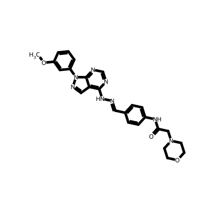 COc1cccc(-n2ncc3c(N/N=C/c4ccc(NC(=O)CN5CCOCC5)cc4)ncnc32)c1